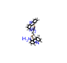 Nc1cccc2nc3ccccc3c(SCCCCSc3c4ccccc4nc4cccc(N)c34)c12